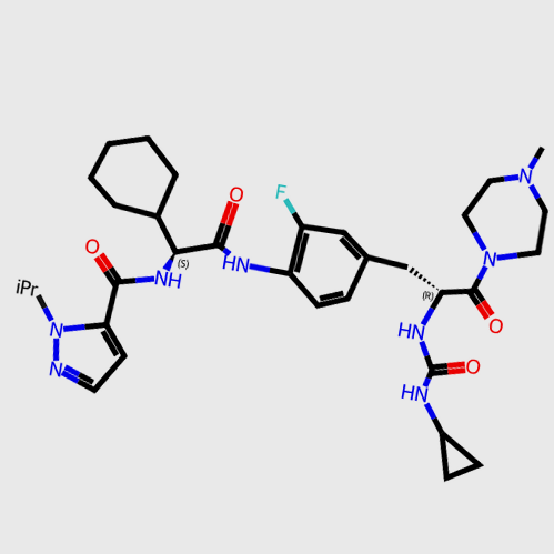 CC(C)n1nccc1C(=O)N[C@H](C(=O)Nc1ccc(C[C@@H](NC(=O)NC2CC2)C(=O)N2CCN(C)CC2)cc1F)C1CCCCC1